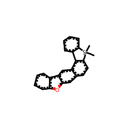 C[Si]1(C)c2ccccc2-c2c1ccc1cc3oc4ccccc4c3cc21